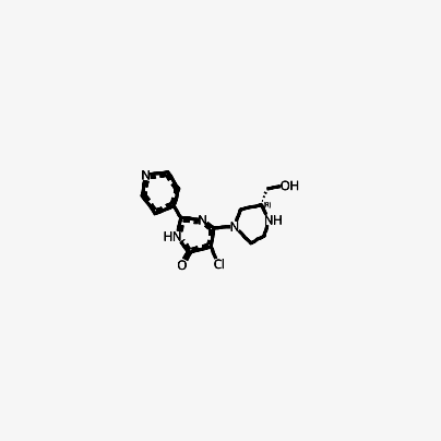 O=c1[nH]c(-c2ccncc2)nc(N2CCN[C@@H](CO)C2)c1Cl